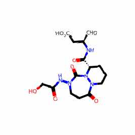 O=C[C@H](CC(=O)O)NC(=O)[C@@H]1CCCN2C(=O)CCN(NC(=O)CO)C(=O)N12